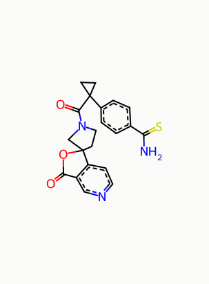 NC(=S)c1ccc(C2(C(=O)N3CCC4(C3)OC(=O)c3cnccc34)CC2)cc1